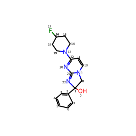 OC1(c2ccccc2)CN2C=CC(N3CCC(F)CC3)=NC2=N1